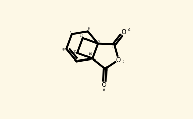 O=C1OC(=O)C23CCC=CC12CC3